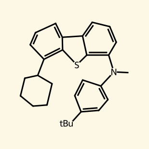 CN(c1ccc(C(C)(C)C)cc1)c1cccc2c1sc1c(C3CCCCC3)cccc12